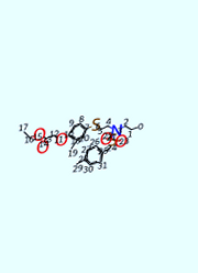 CCCN(CCSc1ccc(OCC(=O)OCC)c(C)c1)S(=O)(=O)Cc1ccc(C)cc1